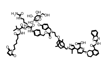 Cc1c(-c2ccc(N3CCc4cccc(C(=O)Nc5nc6ccccc6s5)c4C3)nc2C(=O)O)cnn1CC12CC3(C)CC(C)(C1)C(OCCN(Cc1ccc(O[C@H]4O[C@H](CO)[C@@H](O)[C@@H](O)[C@H]4O)cc1)C(=O)OCc1ccc(NC(=O)[C@H](CCCNC(N)=O)NC(=O)[C@@H](NC(=O)CCCCCN4C(=O)C=CC4=O)C(C)C)cc1)(C3)C2